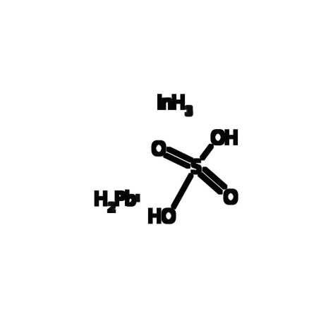 O=S(=O)(O)O.[InH3].[PbH2]